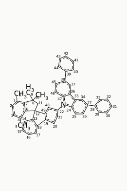 Cc1ccc(C)c2c1C(C)(C)CC21c2ccccc2-c2ccc(-n3c4ccc(-c5ccccc5)cc4c4cc(-c5ccccc5)ccc43)cc21